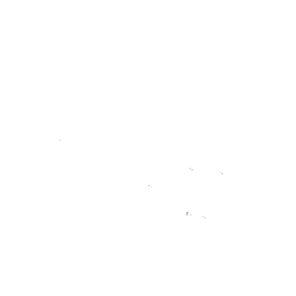 Cc1cccc(-c2ccc(C(=O)N(C)Cc3cnc(C#N)c4cn[nH]c34)cc2OC2CC2)c1